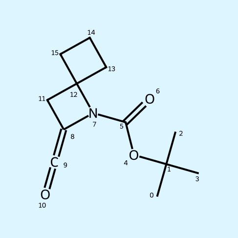 CC(C)(C)OC(=O)N1C(=C=O)CC12CCC2